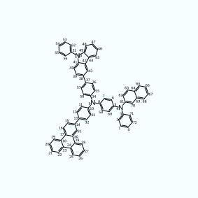 c1ccc(N(c2ccc(N(c3ccc(-c4ccc5c6ccccc6c6ccccc6c5c4)cc3)c3ccc(-c4ccc5c(c4)c4ccccc4n5-c4ccccc4)cc3)cc2)c2ccc3ccccc3c2)cc1